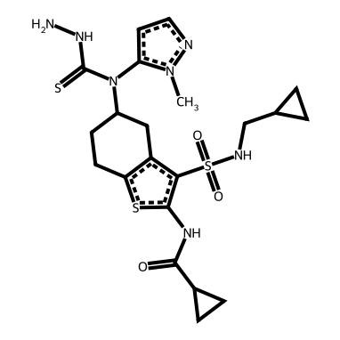 Cn1nccc1N(C(=S)NN)C1CCc2sc(NC(=O)C3CC3)c(S(=O)(=O)NCC3CC3)c2C1